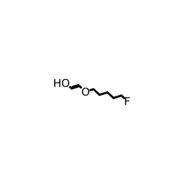 OC=COCCCCCF